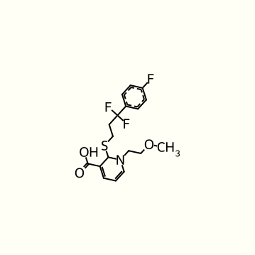 COCCN1C=CC=C(C(=O)O)C1SCCC(F)(F)c1ccc(F)cc1